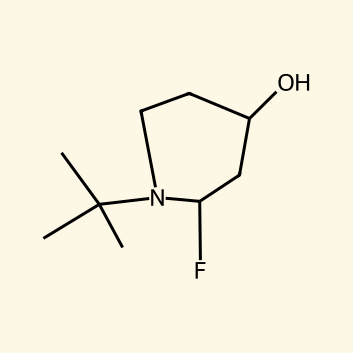 CC(C)(C)N1CCC(O)CC1F